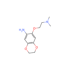 CN(C)CCOc1cc2c(cc1N)OCCO2